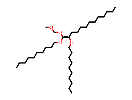 CCCCCCCCCCCC(OCCCCCCCCCC)=C(OCCCCCCCCCC)OCOC